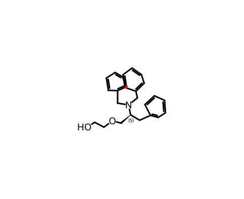 OCCOC[C@H](Cc1ccccc1)N(Cc1ccccc1)Cc1ccccc1